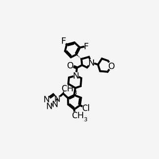 Cc1cc([C@@H](C)n2cnnn2)c(C2CCN(C(=O)C3CN(C4CCOCC4)C[C@H]3c3ccc(F)cc3F)CC2)cc1Cl